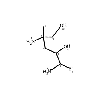 CCC(N)C(O)CC(C)(N)CO